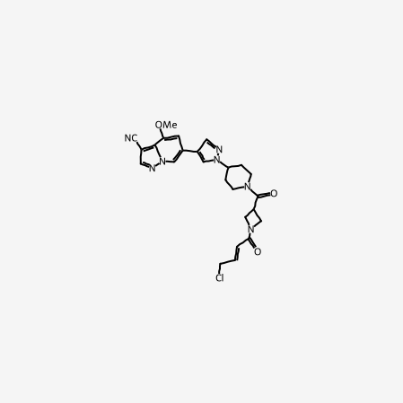 COc1cc(-c2cnn(C3CCN(C(=O)C4CN(C(=O)/C=C/CCl)C4)CC3)c2)cn2ncc(C#N)c12